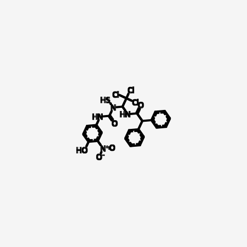 O=C(NC(N(S)C(=O)Nc1ccc(O)c([N+](=O)[O-])c1)C(Cl)(Cl)Cl)C(c1ccccc1)c1ccccc1